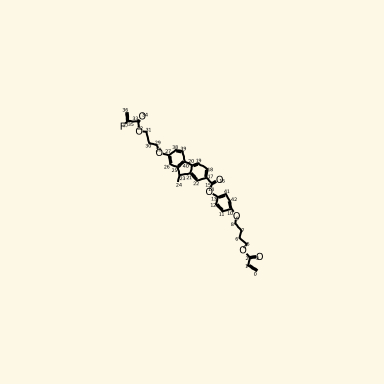 C=CC(=O)OCCCCOc1ccc(OC(=O)c2ccc3c(c2)C(C)c2cc(OCCCOC(=O)C(=C)F)ccc2-3)cc1